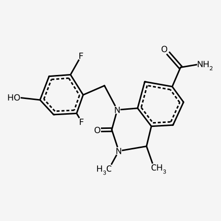 CC1c2ccc(C(N)=O)cc2N(Cc2c(F)cc(O)cc2F)C(=O)N1C